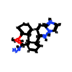 COc1ccccc1-c1c(C(N)=O)cccc1-c1ccc2nccn2n1